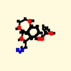 CC(=O)O.NCC1OB2OCCOc3cccc1c32